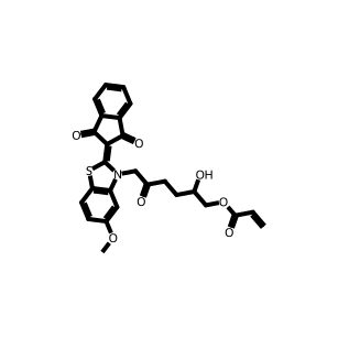 C=CC(=O)OCC(O)CCC(=O)CN1C(=C2C(=O)c3ccccc3C2=O)Sc2ccc(OC)cc21